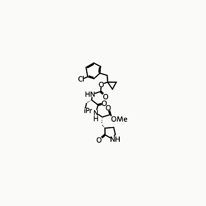 COC(=O)[C@H](C[C@@H]1CCNC1=O)NC(=O)[C@H](CC(C)C)NC(=O)OC1(Cc2cccc(Cl)c2)CC1